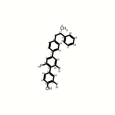 C[C@@H](Cc1ccc(-c2cc(F)c(-c3ccc(O)c(F)c3)c(F)c2)cc1)c1ccccc1